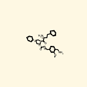 COc1cc(CNC(=O)[C@@H]2C[C@H](c3ccccc3)CN2C(=O)[C@H](N)CCc2ccccc2)ccc1CN